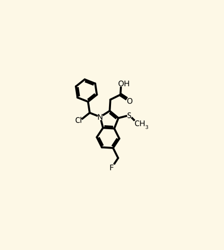 CSc1c(CC(=O)O)n(C(Cl)c2ccccc2)c2ccc(CF)cc12